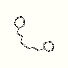 C(=CC=Cc1ccccc1)=CC=Cc1ccccc1